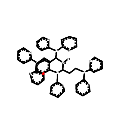 [Cl][Au]([CH](CCP(c1ccccn1)c1ccccn1)P(c1ccccn1)c1ccccn1)[CH](CCP(c1ccccn1)c1ccccn1)P(c1ccccn1)c1ccccn1